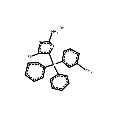 CCc1nc(N)sc1[P+](c1ccccc1)(c1ccccc1)c1cccc(C)c1.[Br-]